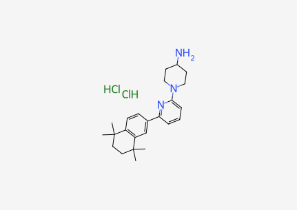 CC1(C)CCC(C)(C)c2cc(-c3cccc(N4CCC(N)CC4)n3)ccc21.Cl.Cl